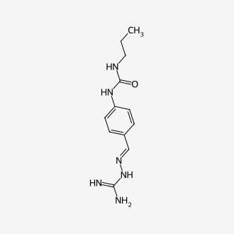 CCCNC(=O)Nc1ccc(/C=N/NC(=N)N)cc1